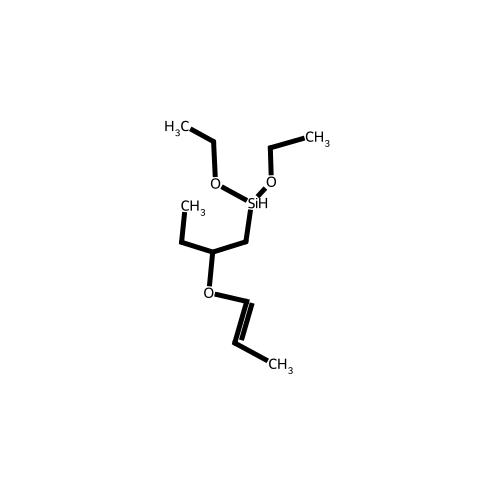 CC=COC(CC)C[SiH](OCC)OCC